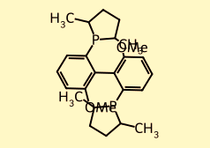 COc1cccc(P2C(C)CCC2C)c1-c1c(OC)cccc1P1C(C)CCC1C